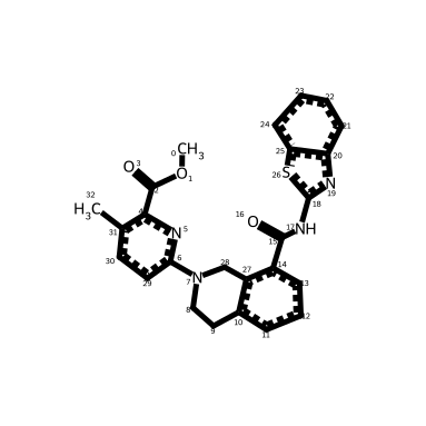 COC(=O)c1nc(N2CCc3cccc(C(=O)Nc4nc5ccccc5s4)c3C2)ccc1C